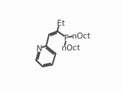 CCCCCCCCP(CCCCCCCC)C(=Cc1ccccn1)CC